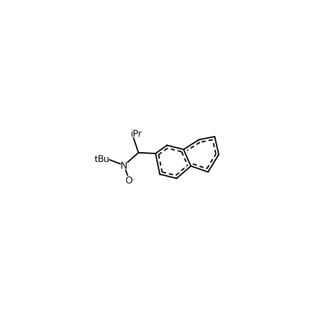 CC(C)C(c1ccc2ccccc2c1)N([O])C(C)(C)C